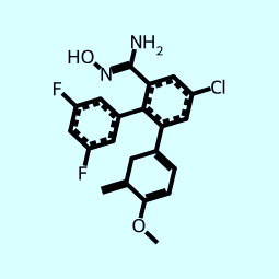 C=C1CC(c2cc(Cl)cc(C(N)=NO)c2-c2cc(F)cc(F)c2)=CC=C1OC